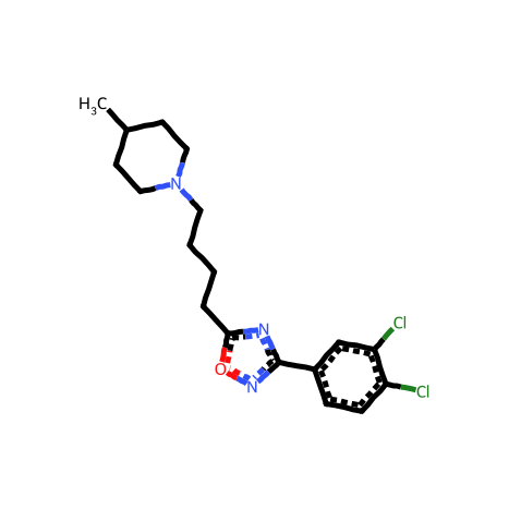 CC1CCN(CCCCc2nc(-c3ccc(Cl)c(Cl)c3)no2)CC1